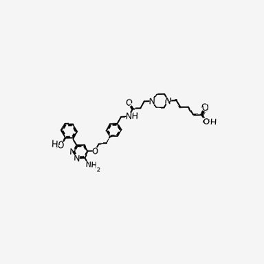 Nc1nnc(-c2ccccc2O)cc1OCCc1ccc(CNC(=O)CCN2CCN(CCCCC(=O)O)CC2)cc1